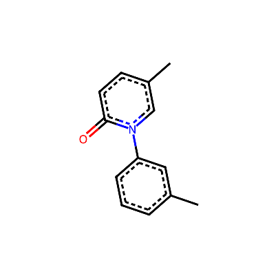 Cc1cccc(-n2cc(C)ccc2=O)c1